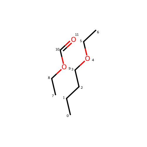 CCCCOCC.CCOC=O